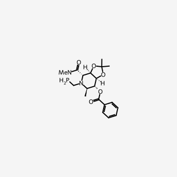 CNC(=O)[C@@H]1[C@H]2OC(C)(C)O[C@H]2[C@H](OC(=O)c2ccccc2)[C@@H](C)N1CP